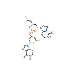 O=c1[nH]cnc2c1ncn2CCC(C=C(F)F)O[PH](=O)OC(C=C(F)F)CCn1cnc2c(=O)[nH]cnc21